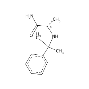 C[C@H](NC(C)(C)c1ccccc1)C(N)=O